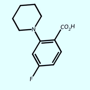 O=C(O)c1ccc(F)cc1N1CCCCC1